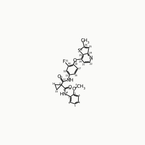 COc1ccccc1NC(=O)C1(C(=O)Nc2ccc(Oc3ccnc4cc(C)sc34)c(F)c2)CC1